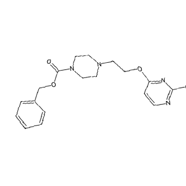 O=C(OCc1ccccc1)N1CCN(CCOc2ccnc(Cl)n2)CC1